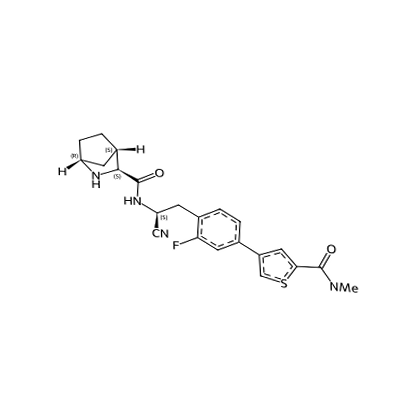 CNC(=O)c1cc(-c2ccc(C[C@@H](C#N)NC(=O)[C@H]3N[C@@H]4CC[C@H]3C4)c(F)c2)cs1